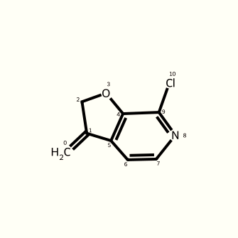 C=C1COc2c1ccnc2Cl